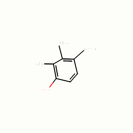 CCCCCCc1ccc(O)c(CCC)c1CCCCCC